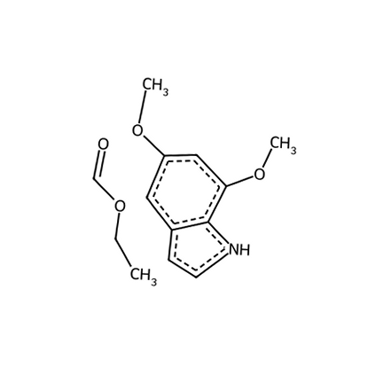 CCOC=O.COc1cc(OC)c2[nH]ccc2c1